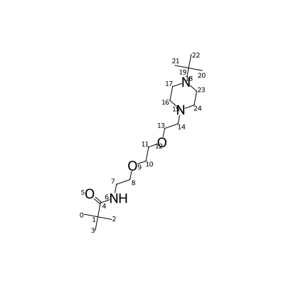 CC(C)(C)C(=O)NCCOCCOCCN1CCN(C(C)(C)C)CC1